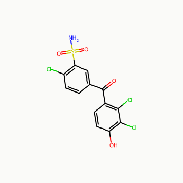 NS(=O)(=O)c1cc(C(=O)c2ccc(O)c(Cl)c2Cl)ccc1Cl